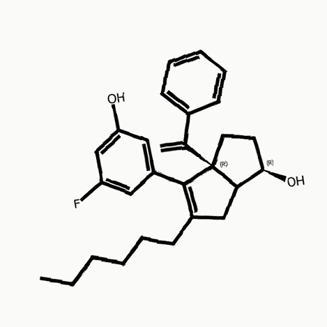 C=C(c1ccccc1)[C@@]12CC[C@@H](O)C1CC(CCCCCC)=C2c1cc(O)cc(F)c1